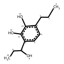 CCCc1ccc(C(O)CC)c(O)c1O